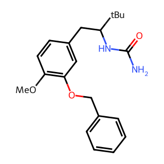 COc1ccc(CC(NC(N)=O)C(C)(C)C)cc1OCc1ccccc1